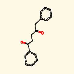 O=C(CCC(=O)c1ccccc1)Cc1ccccc1